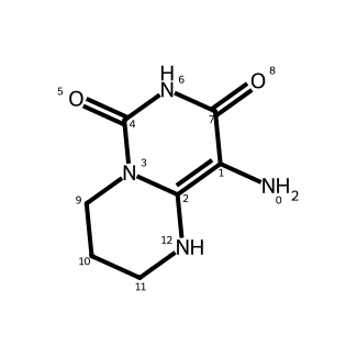 Nc1c2n(c(=O)[nH]c1=O)CCCN2